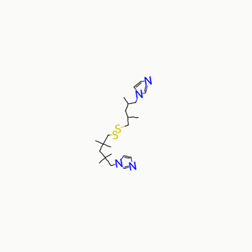 CC(CSSCC(C)(C)CC(C)(C)Cn1ccnc1)CC(C)Cn1ccnc1